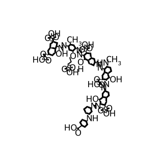 CNc1ccc2c(O)c(N=Nc3ccc4cc(S(=O)(=O)O)c(N=Nc5cccc(Nc6ccc(C(=O)O)cc6)c5)c(O)c4c3)c(S(=O)(=O)O)cc2c1N=Nc1ccc2c(O)c(N=Nc3cc(C)c(N=Nc4cc(S(=O)(=O)O)cc5cc(S(=O)(=O)O)cc(O)c45)cc3OCCCS(=O)(=O)O)c(S(=O)(=O)O)cc2c1